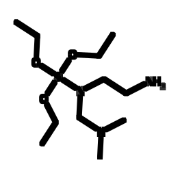 CCO[Si](OCC)(OCC)N(CCN)CN(C)C